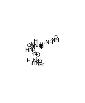 CC(C)NC(=O)[C@@H](N)CCC(=O)N1CCC(Nc2nc(NCc3cn(CCCNCCCNC4CCCCC4)nn3)nc3ccccc23)CC1